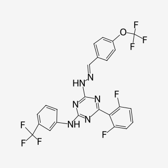 Fc1cccc(F)c1-c1nc(N/N=C/c2ccc(OC(F)(F)F)cc2)nc(Nc2cccc(C(F)(F)F)c2)n1